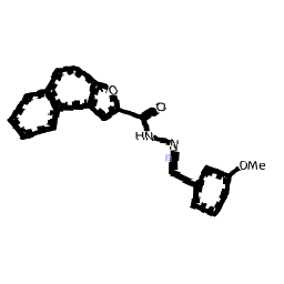 COc1cccc(/C=N/NC(=O)c2cc3c(ccc4ccccc43)o2)c1